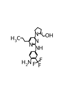 CCCc1cc(N2CCC[C@H]2CO)nc(Nc2ccc(N)c(C(F)(F)F)c2)n1